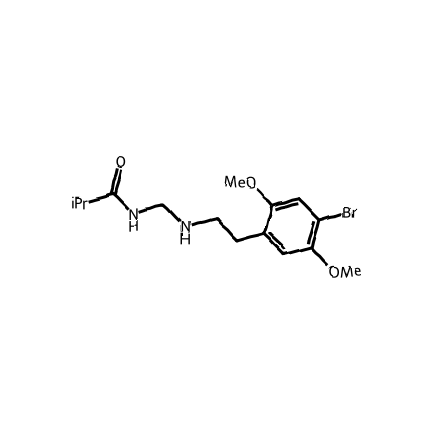 COc1cc(CCNCNC(=O)C(C)C)c(OC)cc1Br